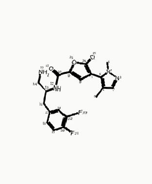 Cc1cnn(C)c1-c1cc(C(=O)N[C@H](CN)Cc2ccc(F)c(F)c2)oc1Cl